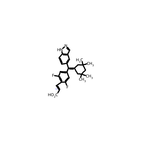 CC1(C)CC(=C(c2cc(F)c(/C=C/C(=O)O)c(F)c2)c2ccc3[nH]ncc3c2)CC(C)(C)C1